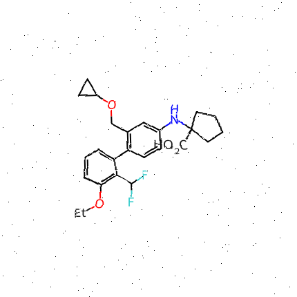 CCOc1cccc(-c2ccc(NC3(C(=O)O)CCCC3)cc2COC2CC2)c1C(F)F